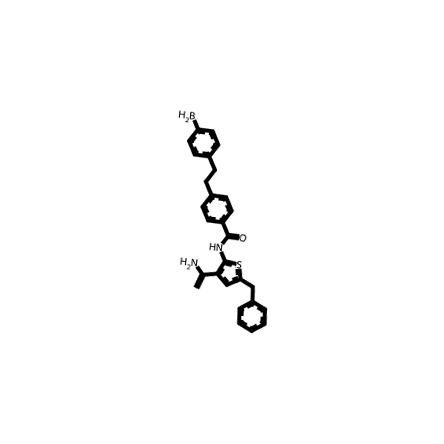 Bc1ccc(CCc2ccc(C(=O)Nc3sc(Cc4ccccc4)cc3C(=C)N)cc2)cc1